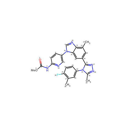 COC(=O)Nc1ccc(-n2cnc3c(C)cc(-c4nnc(C)n4-c4ccc(F)c(C)c4)cc32)cn1